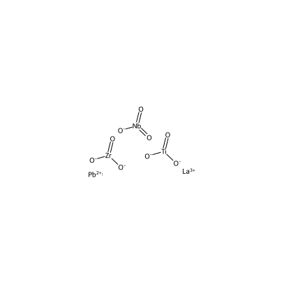 [La+3].[O]=[Nb](=[O])[O-].[O]=[Ti]([O-])[O-].[O]=[Zr]([O-])[O-].[Pb+2]